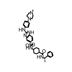 C[C@@H](NC(=O)C1CCC(NS(=O)(=O)c2ccc3[nH]c(Nc4ccc(N5CCN(C)CC5)cc4)nc3c2)CC1)c1ccccc1